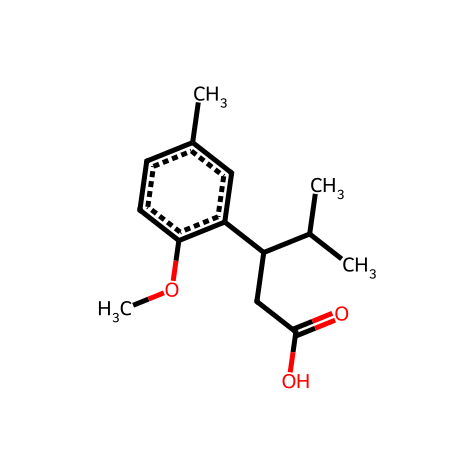 COc1ccc(C)cc1C(CC(=O)O)C(C)C